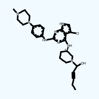 CCC#CC(O)N1CCC[C@@H](Nc2nc(Nc3ccc(N4CCN(C)CC4)cc3)nc3[nH]cc(Cl)c23)C1